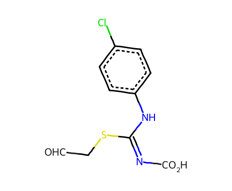 O=CCS/C(=N/C(=O)O)Nc1ccc(Cl)cc1